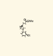 CCc1cccc(-c2cnn(CCC(=O)OC)c2)c1